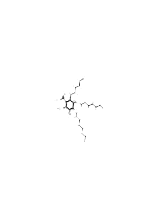 CCCCCCCOc1c(O)c(O)c(C(=O)O)c(CCCCCC)c1OCCCCCCC